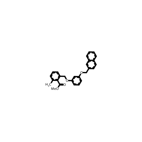 COC(=O)c1c(C)cccc1COc1cccc(OCc2ccc3ccccc3c2)c1